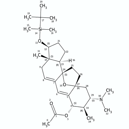 CC(=O)O[C@@H]1C2=CC3=CC[C@]4(C)[C@@H](O[Si](C)(C)C(C)(C)C)CC[C@H]4[C@@]34CC[C@]2(C[C@H](N(C)C)[C@H]1C)O4